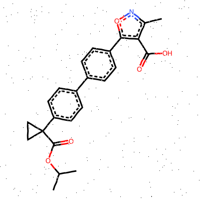 Cc1noc(-c2ccc(-c3ccc(C4(C(=O)OC(C)C)CC4)cc3)cc2)c1C(=O)O